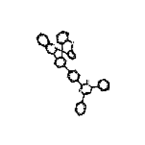 C1=C(c2ccccc2)N=C(c2ccc(-c3ccc4c(c3)C3(c5ccccc5Oc5ccccc53)c3cc5ccccc5cc3-4)cc2)NC1c1ccccc1